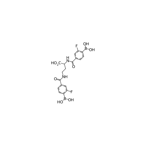 O=C(NCCC(NC(=O)c1ccc(B(O)O)c(F)c1)C(=O)O)c1ccc(B(O)O)c(F)c1